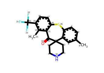 Cc1ccc2c(c1)C1(CCNCC1)C(=O)c1c(ccc(C(F)(F)F)c1C)S2